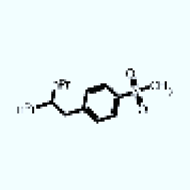 CCCC(CCC)Cc1ccc(S(C)(=O)=O)cc1